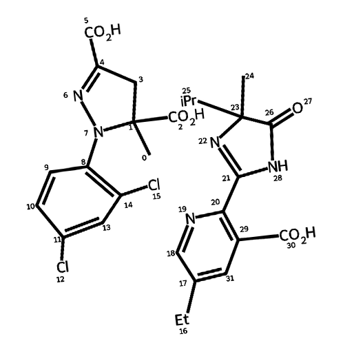 CC1(C(=O)O)CC(C(=O)O)=NN1c1ccc(Cl)cc1Cl.CCc1cnc(C2=NC(C)(C(C)C)C(=O)N2)c(C(=O)O)c1